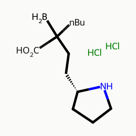 BC(CCCC)(CC[C@H]1CCCN1)C(=O)O.Cl.Cl